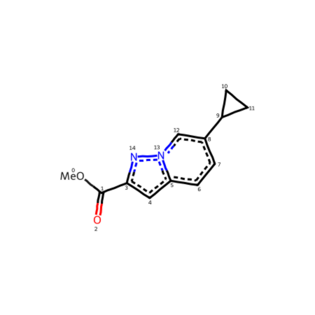 COC(=O)c1cc2ccc(C3CC3)cn2n1